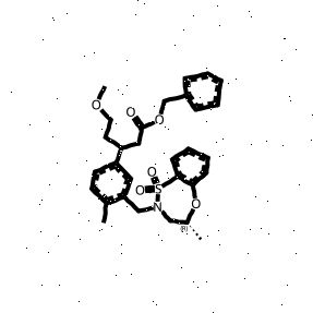 COCCC(CC(=O)OCc1ccccc1)c1ccc(C)c(CN2C[C@@H](C)Oc3ccccc3S2(=O)=O)c1